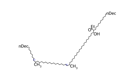 CCCCCCCCCCCCCCCC/C=C/C(C)CCCCCCCCCCCCCC/C=C/C(C)CCCCCCCCCCCCCCCCCCCC(O)C(CCCCCCCCCCCCCCCCCCCC)C(=O)CC